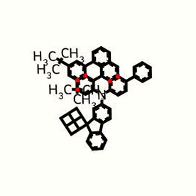 CC(C)(C)c1cc(-c2cccc3cccc(-c4ccccc4N(c4ccc(-c5ccccc5)cc4)c4ccc5c(c4)C4(c6ccccc6-5)C5CC6CC7CC4C675)c23)cc(C(C)(C)C)c1